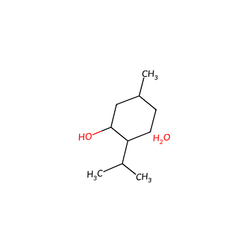 CC1CCC(C(C)C)C(O)C1.O